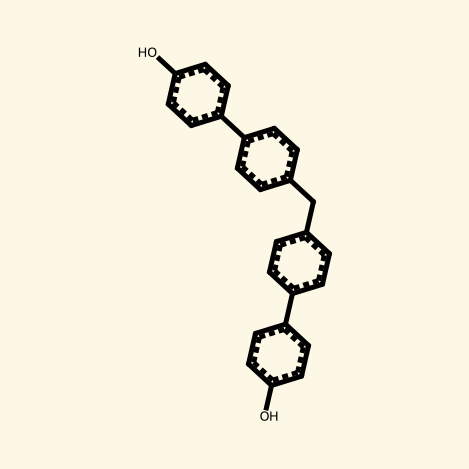 Oc1ccc(-c2ccc(Cc3ccc(-c4ccc(O)cc4)cc3)cc2)cc1